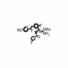 CS/C(N)=N\[C@](C)(c1cc(/C=C(\F)c2ccc(C#N)cn2)ccc1F)[C@@H]1C[C@H]1C(=O)N1CC[C@@H](F)C1